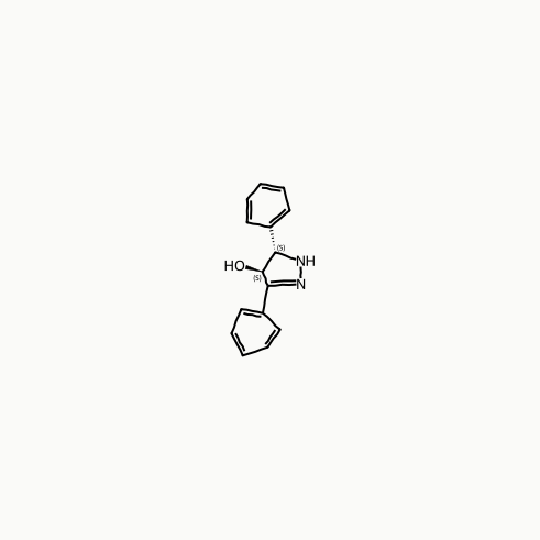 O[C@@H]1C(c2ccccc2)=NN[C@H]1c1ccccc1